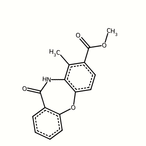 COC(=O)c1ccc2c(c1C)NC(=O)c1ccccc1O2